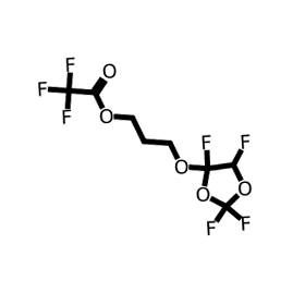 O=C(OCCCOC1(F)OC(F)(F)OC1F)C(F)(F)F